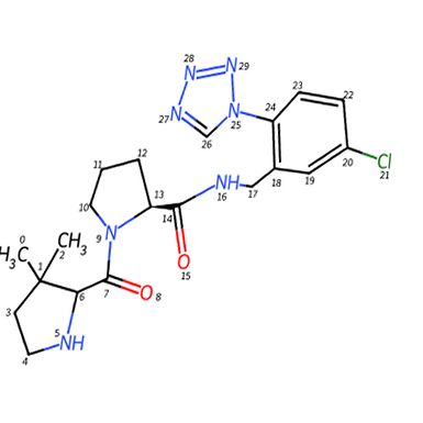 CC1(C)CCNC1C(=O)N1CCC[C@H]1C(=O)NCc1cc(Cl)ccc1-n1cnnn1